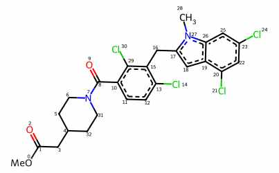 COC(=O)CC1CCN(C(=O)c2ccc(Cl)c(Cc3cc4c(Cl)cc(Cl)cc4n3C)c2Cl)CC1